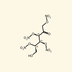 O=C(CO[N+](=O)[O-])[C@H](O[N+](=O)[O-])[C@@H](O[N+](=O)[O-])[C@@H](CO)O[N+](=O)[O-]